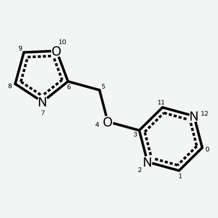 c1cnc(OCc2ncco2)cn1